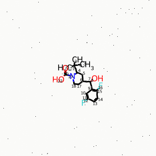 CC(C)(C)C1CC(C(O)c2cc(F)ccc2F)CCN1C(=O)O